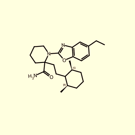 CCc1ccc2oc(N3CCCCC3(CCC3[C@H](C)CCC[C@@H]3C)C(N)=O)nc2c1